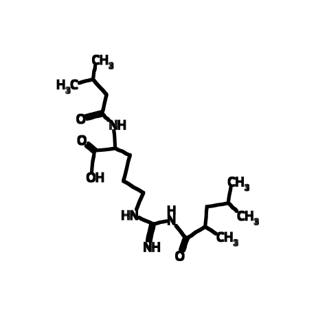 CC(C)CC(=O)NC(CCCNC(=N)NC(=O)C(C)CC(C)C)C(=O)O